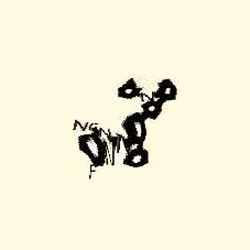 N#Cc1nc(-n2c3ccccc3c3cc(-c4ccc5c6ccccc6n(-c6ccccc6)c5c4)ccc32)nc2cc(F)ccc12